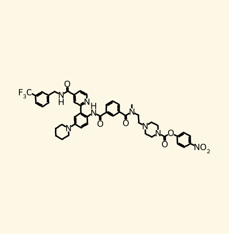 CN(CCN1CCN(C(=O)Oc2ccc([N+](=O)[O-])cc2)CC1)C(=O)c1cccc(C(=O)Nc2ccc(N3CCCCC3)cc2-c2cc(C(=O)NCc3cccc(C(F)(F)F)c3)ccn2)c1